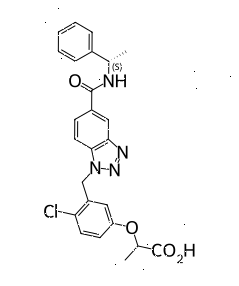 CC(Oc1ccc(Cl)c(Cn2nnc3cc(C(=O)N[C@@H](C)c4ccccc4)ccc32)c1)C(=O)O